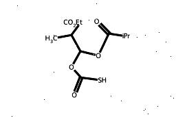 CCOC(=O)C(C)C(OC(=O)S)OC(=O)C(C)C